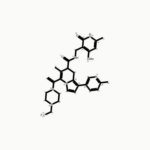 C=C(C1=C(C)C(C(=O)NCc2c(OC)cc(C)[nH]c2=O)Cc2c(-c3ccc(C)nc3)ccn21)N1CCN(CC(F)(F)F)CC1